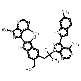 CC(C)(C)n1nc(-c2[nH]c3cc(CO)c(CC(C)(C)n4nc(-c5cc6ccc(N)cc6[nH]5)c5c(N)ncnc54)cc3c2Cl)c2c(N)ncnc21